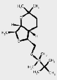 C[C@@H]1O[C@H](CO[Si](C)(C)C(C)(C)C)[C@H]2CCC(C)(C)O[C@H]21